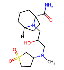 CN(CC(O)CN1[C@@H]2C[CH]C[C@@]1(C(N)=O)CC2)[C@@H]1CCS(=O)(=O)C1